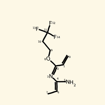 C=C/C(=N\C(N)=C/C)OCCC(F)(F)F